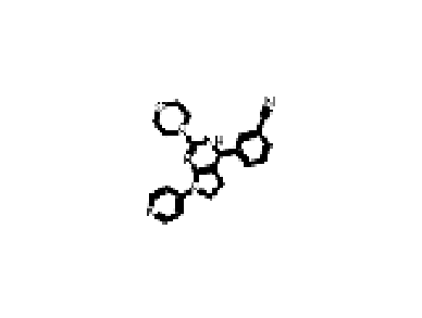 N#Cc1cccc(C2NC(N3CCOCC3)=NC3=C2CCN3c2ccncc2)c1